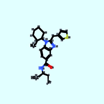 CC(C)C[C@H](NC(=O)c1ccc2c(c1)nc(Cc1ccsc1)n2C1CCCCC1C)C(=O)O